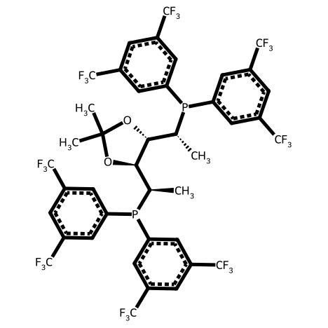 C[C@H]([C@H]1OC(C)(C)O[C@@H]1[C@@H](C)P(c1cc(C(F)(F)F)cc(C(F)(F)F)c1)c1cc(C(F)(F)F)cc(C(F)(F)F)c1)P(c1cc(C(F)(F)F)cc(C(F)(F)F)c1)c1cc(C(F)(F)F)cc(C(F)(F)F)c1